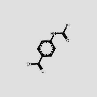 CCC(=O)Nc1ccc(C(=O)CC)cc1